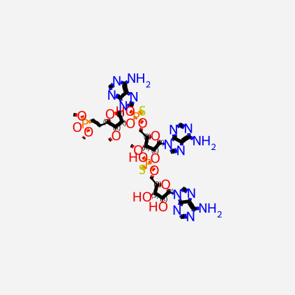 CO[C@H]1[C@@H](OP(O)(=S)OC[C@H]2O[C@@H](n3cnc4c(N)ncnc43)[C@H](OP(O)(=S)OC[C@H]3O[C@@H](n4cnc5c(N)ncnc54)[C@H](O)[C@@H]3O)[C@@H]2OC)[C@H](n2cnc3c(N)ncnc32)O[C@@H]1CCP(=O)(OC)OC